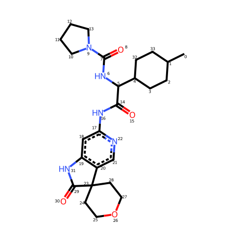 CC1CCC(C(NC(=O)N2CCCC2)C(=O)Nc2cc3c(cn2)C2(CCOCC2)C(=O)N3)CC1